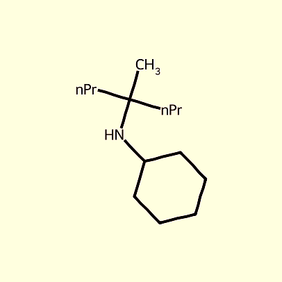 CCCC(C)(CCC)NC1CCCCC1